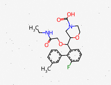 CCNC(=O)COC(c1cccc(F)c1-c1cccc(C)c1)C1CN(C(=O)O)CCO1